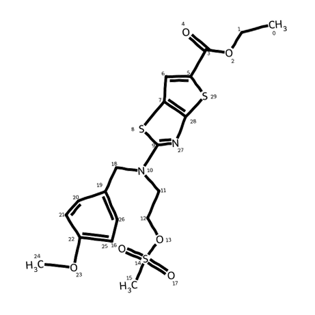 CCOC(=O)c1cc2sc(N(CCOS(C)(=O)=O)Cc3ccc(OC)cc3)nc2s1